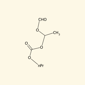 CCCOC(=O)OC(C)OC=O